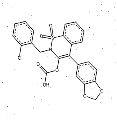 O=C(O)OC1=C(c2ccc3c(c2)OCO3)c2ccccc2S(=O)(=O)N1Cc1ccccc1Cl